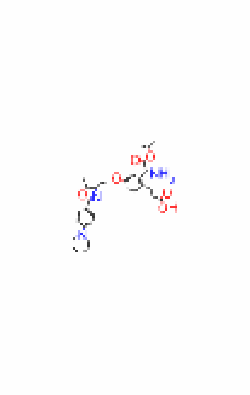 Cc1oc(-c2ccc(N3CCCCC3)cc2)nc1CCOc1ccc(CCC(=O)O)c(C(N)C(=O)OC(C)C)c1